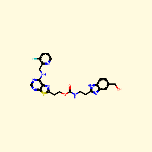 O=C(NCCc1nc2cc(CO)ccc2[nH]1)OCCc1nc2c(NCc3ncccc3F)ncnc2s1